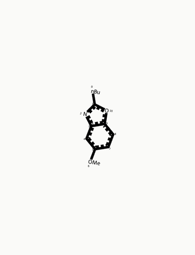 CCCCc1nc2cc(OC)ccc2o1